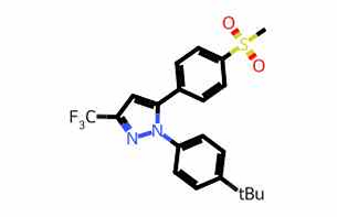 CC(C)(C)c1ccc(-n2nc(C(F)(F)F)cc2-c2ccc(S(C)(=O)=O)cc2)cc1